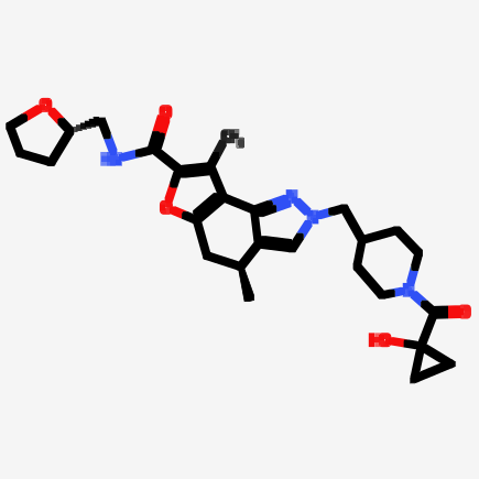 C[C@H]1Cc2oc(C(=O)NC[C@@H]3CCCO3)c(C(F)(F)F)c2-c2nn(CC3CCN(C(=O)C4(O)CC4)CC3)cc21